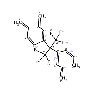 C=C/C=C\C(=C/C=C)C(C(/C=C\C)=C/C=C)(C(F)(F)F)C(F)(F)F